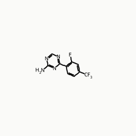 Nc1ncnc(-c2ccc(C(F)(F)F)cc2F)n1